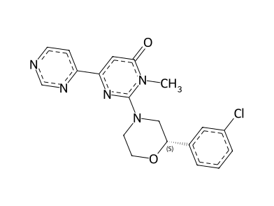 Cn1c(N2CCO[C@@H](c3cccc(Cl)c3)C2)nc(-c2ccncn2)cc1=O